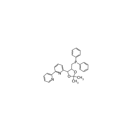 CC1(C)OC(CP(c2ccccc2)c2ccccc2)C(c2cccc(-c3ccccn3)n2)O1